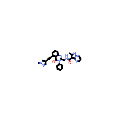 Cc1nn2cccnc2c1C(=O)NCc1nc2cccc(C#Cc3cnn(C)c3)c2c(=O)n1-c1ccccc1